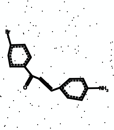 Nc1ccc(C=CC(=O)c2ccc(Br)cc2)cc1